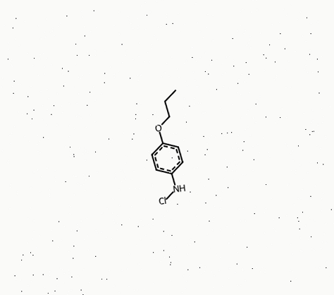 CCCOc1ccc(NCl)cc1